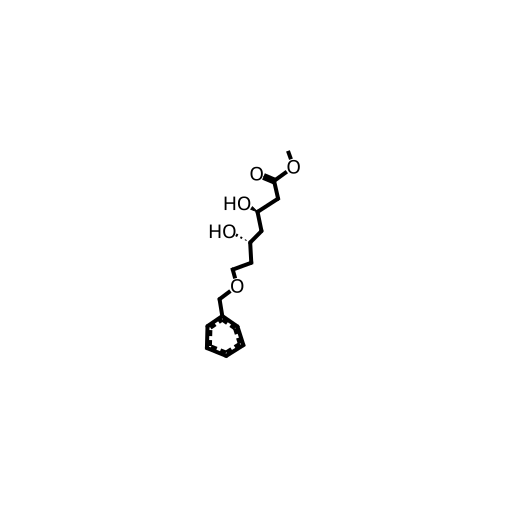 COC(=O)C[C@H](O)C[C@@H](O)CCOCc1ccccc1